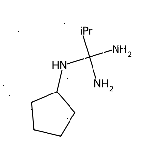 CC(C)C(N)(N)NC1CCCC1